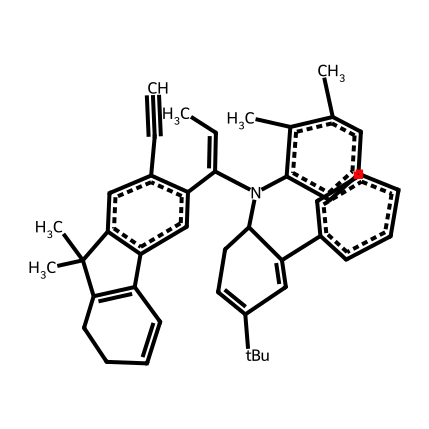 C#Cc1cc2c(cc1/C(=C\C)N(c1cccc(C)c1C)C1CC=C(C(C)(C)C)C=C1c1ccccc1)C1=C(CCC=C1)C2(C)C